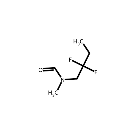 CCC(F)(F)CN(C)C=O